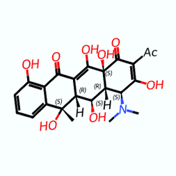 CC(=O)C1=C(O)[C@@H](N(C)C)[C@@H]2[C@@H](O)[C@H]3C(=C(O)[C@]2(O)C1=O)C(=O)c1c(O)cccc1[C@@]3(C)O